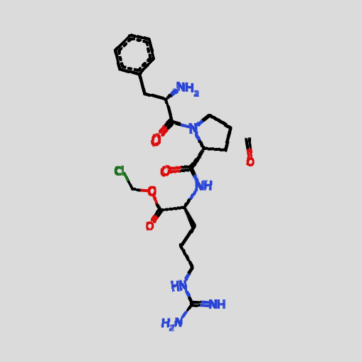 C=O.N=C(N)NCCC[C@H](NC(=O)[C@@H]1CCCN1C(=O)[C@H](N)Cc1ccccc1)C(=O)OCCl